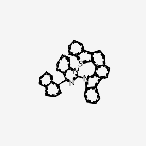 c1ccc2c(-c3nc(-n4c5ccccc5c5ccc6ccc7c8ccccc8sc7c6c54)nc4ccccc34)cccc2c1